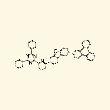 c1ccc(-c2nc(-c3ccccc3)nc(-c3cccc(-c4ccc5c(c4)oc4ccc(-c6ccc7c8ccccc8c8ccccc8c7c6)cc45)n3)n2)cc1